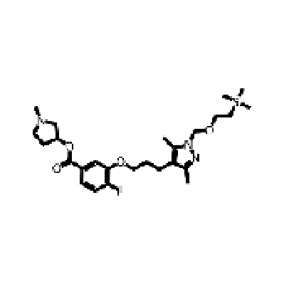 Cc1nn(COCC[Si](C)(C)C)c(C)c1CCCOc1cc(C(=O)OC2CCN(C)C2)ccc1F